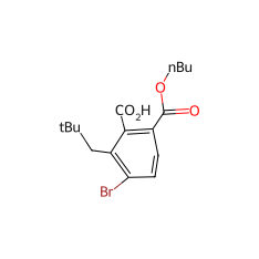 CCCCOC(=O)c1ccc(Br)c(CC(C)(C)C)c1C(=O)O